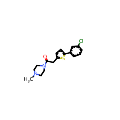 CN1CCN(C(=O)Cc2ccc(-c3cccc(Cl)c3)s2)CC1